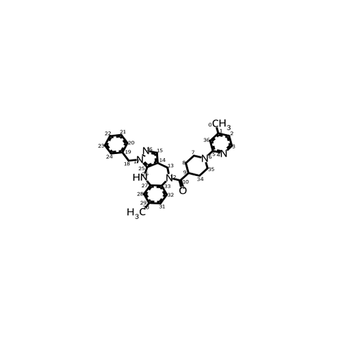 Cc1ccnc(N2CCC(C(=O)N3Cc4cnn(Cc5ccccc5)c4Nc4cc(C)ccc43)CC2)c1